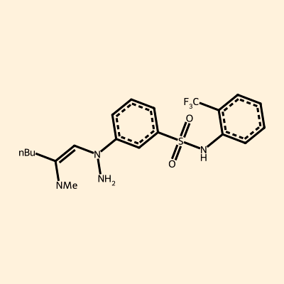 CCCC/C(=C/N(N)c1cccc(S(=O)(=O)Nc2ccccc2C(F)(F)F)c1)NC